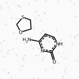 C1CSCO1.Nc1cc[nH]c(=O)n1